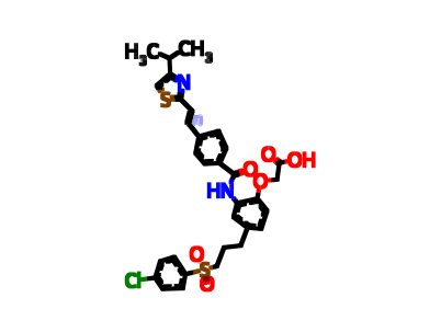 CC(C)c1csc(/C=C/c2ccc(C(=O)Nc3cc(CCCS(=O)(=O)c4ccc(Cl)cc4)ccc3OCC(=O)O)cc2)n1